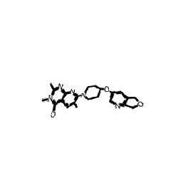 Cc1cc2c(=O)n(C)c(C)nc2nc1N1CCC(Oc2cnc3c(c2)COC3)CC1